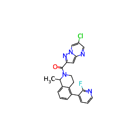 CC1c2cccc(-c3cccnc3F)c2CCN1C(=O)c1cc2ncc(Cl)cn2n1